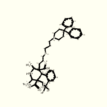 CCC1(C(=O)O)C(C)NC(C)C(CCCOCCCN2CCC(c3ccccc3)(c3ccccc3)CC2)(C(=O)O)C1c1ccccc1C(F)(F)F